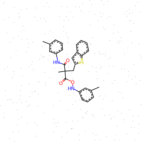 Cc1cccc(NOC(=O)C(C)(Cc2cc3ccccc3s2)C(=O)Nc2cccc(C)c2)c1